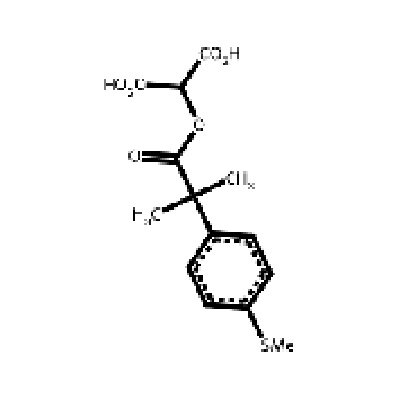 CSc1ccc(C(C)(C)C(=O)OC(C(=O)O)C(=O)O)cc1